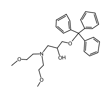 COCCN(CCOC)CC(O)COC(c1ccccc1)(c1ccccc1)c1ccccc1